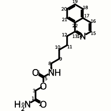 NC(=O)COC(=O)NCCCCCc1nccc2ccccc12